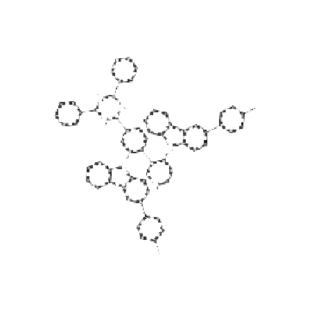 Cc1ccc(-c2ccc3c(c2)c2ccccc2n3-c2ccncc2-c2ccc(-c3nc(-c4ccccc4)nc(-c4ccccc4)n3)cc2-n2c3ccccc3c3cc(-c4ccc(C)cc4)ccc32)cc1